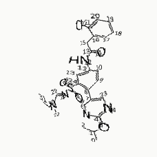 CC(C)Oc1ncc(-c2ccc(NC(=O)Cc3ccccc3Cl)cc2S(=O)(=O)N=CN(C)C)cn1